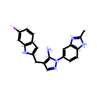 Cc1nc2cc(-n3ncc([C]c4cc5ccc(I)cc5[nH]4)c3N)ccc2[nH]1